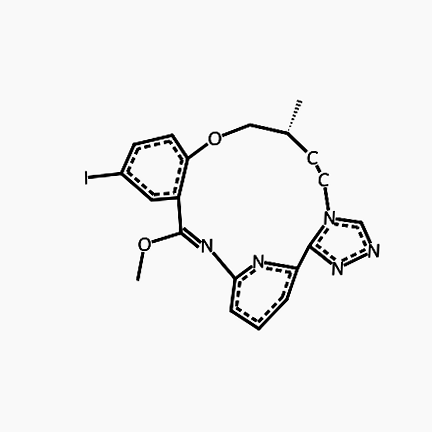 CO/C1=N\c2cccc(n2)-c2nncn2CC[C@@H](C)COc2ccc(I)cc21